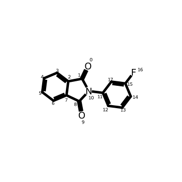 O=C1c2ccccc2C(=O)N1c1cccc(F)c1